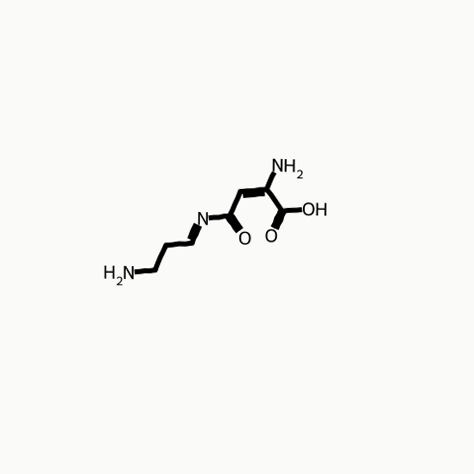 NCCC=NC(=O)/C=C(/N)C(=O)O